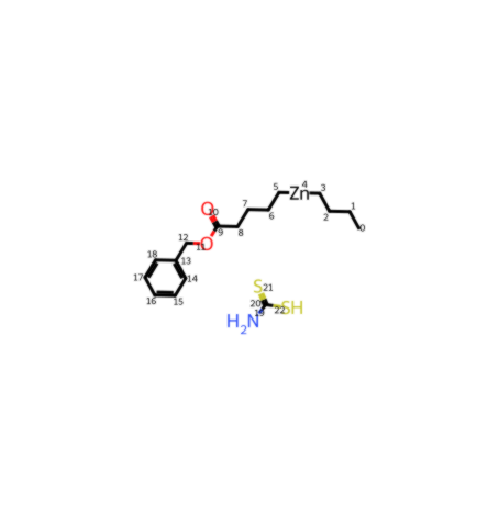 CCC[CH2][Zn][CH2]CCCC(=O)OCc1ccccc1.NC(=S)S